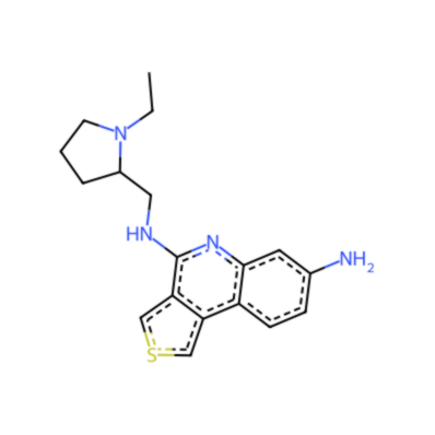 CCN1CCCC1CNc1nc2cc(N)ccc2c2cscc12